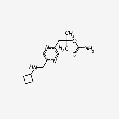 CC(C)(Cc1cnc(CNC2CCC2)cn1)OC(N)=O